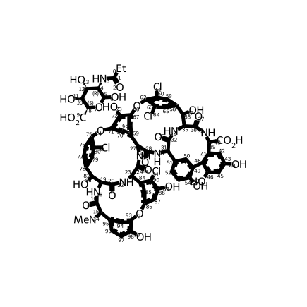 CCC(=O)N[C@H]1C(O)O[C@H](C(=O)O)[C@@H](O)[C@@H]1O.CNC1C(=O)NC2C(=O)NC(C(=O)NC3C(=O)NC4C(=O)NC(C(=O)NC(C(=O)O)c5cc(O)cc(O)c5-c5cc4ccc5O)C(O)c4cc(Cl)c(c(Cl)c4)Oc4cc3cc(c4O)Oc3ccc(cc3Cl)C2O)c2cc(cc(O)c2Cl)Oc2cc1ccc2O